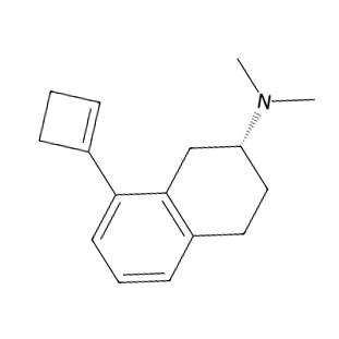 CN(C)[C@@H]1CCc2cccc(C3=CCC3)c2C1